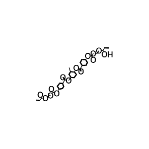 C=CC(=O)OCOC(=O)Oc1ccc(C(=O)Oc2ccc(OC(=O)c3ccc(OC(=O)OCOC(O)C=C)cc3)c(C)c2)cc1